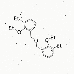 CCOc1c(CC)cccc1COCc1cccc(CC)c1OCC